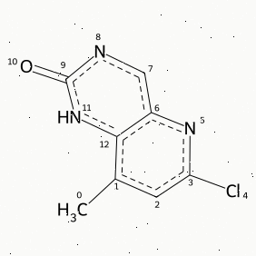 Cc1cc(Cl)nc2cnc(=O)[nH]c12